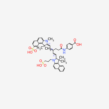 CN1/C(=C/C=C(/C=C/C2=[N+](CCCS(=O)(=O)O)c3ccc4ccccc4c3C2(C)C)CCC(=O)Nc2ccc(C(=O)O)cc2)C(C)(C)c2c1ccc1ccc(S(=O)(=O)O)cc21